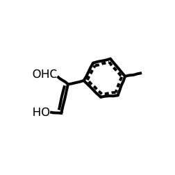 Cc1ccc(C(C=O)=CO)cc1